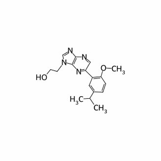 COc1ccc(C(C)C)cc1-c1cnc2ncn(CCO)c2n1